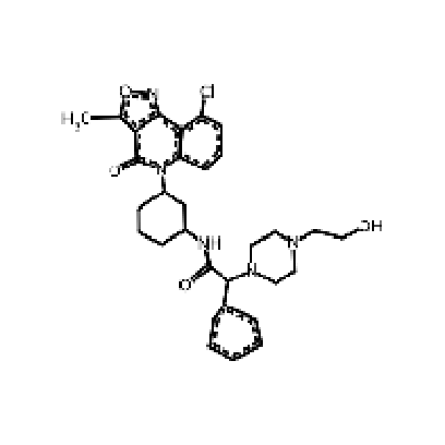 Cc1onc2c1c(=O)n(C1CCCC(NC(=O)C(c3ccccc3)N3CCN(CCO)CC3)C1)c1cccc(Cl)c21